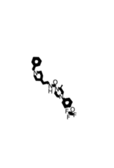 C[C@H]1CN(c2ccc(OC(F)(F)F)cc2)CCN1C(=O)NCCC1CCN(Cc2ccccc2)CC1